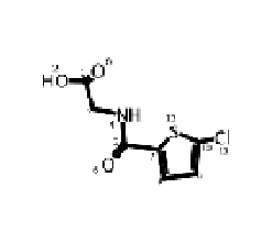 O=C(O)CNC(=O)c1ccc(Cl)s1